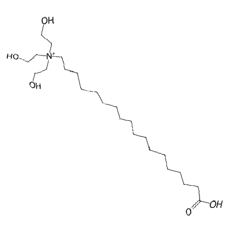 O=C(O)CCCCCCCCCCCCCCCCC[N+](CCO)(CCO)CCO